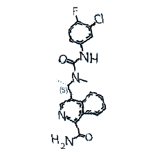 C[C@@H](c1cnc(C(N)=O)c2ccccc12)N(C)C(=O)Nc1ccc(F)c(Cl)c1